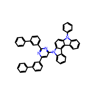 c1ccc(-c2cccc(-c3cc(-n4c5ccccc5c5c6c7ccccc7n(-c7ccccc7)c6ccc54)nc(-c4cccc(-c5ccccc5)c4)n3)c2)cc1